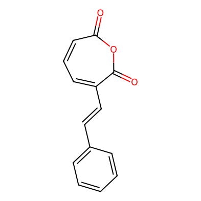 O=c1cccc(C=Cc2ccccc2)c(=O)o1